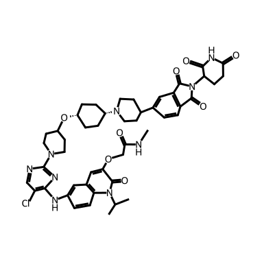 CNC(=O)COc1cc2cc(Nc3nc(N4CCC(O[C@H]5CC[C@@H](N6CCC(c7ccc8c(c7)C(=O)N(C7CCC(=O)NC7=O)C8=O)CC6)CC5)CC4)ncc3Cl)ccc2n(C(C)C)c1=O